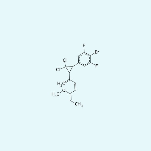 C=C(/C=C\C(=C/C)OC)C1C(c2cc(F)c(Br)c(F)c2)C1(Cl)Cl